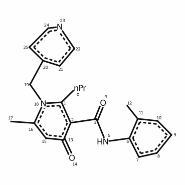 CCCc1c(C(=O)Nc2ccccc2C)c(=O)cc(C)n1Cc1ccncc1